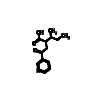 CCC(C)C(CC(=O)c1cccnc1)C(=O)O